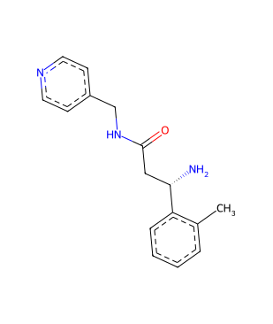 Cc1ccccc1[C@@H](N)CC(=O)NCc1ccncc1